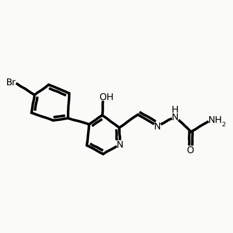 NC(=O)NN=Cc1nccc(-c2ccc(Br)cc2)c1O